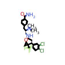 CN(C)[C@H](CNC(=O)C[C@@H](c1ccc(Cl)c(Cl)c1)C1(C(F)(F)F)CC1)Cc1ccc(C(N)=O)cc1